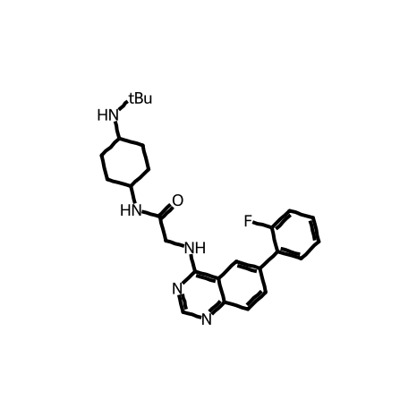 CC(C)(C)NC1CCC(NC(=O)CNc2ncnc3ccc(-c4ccccc4F)cc23)CC1